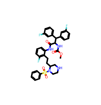 COC(=O)NC(C(=O)Nc1cccc(F)c1CCC1CNCCN1S(=O)(=O)c1ccccc1)C(c1cccc(F)c1)c1cccc(F)c1